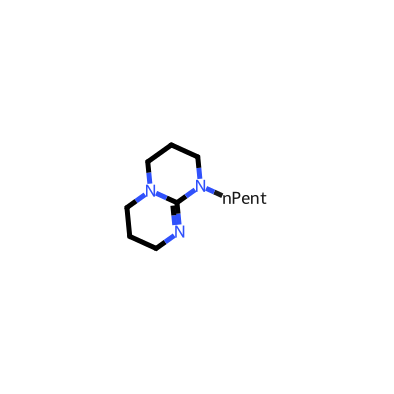 CCCCCN1CCCN2CCCN=C12